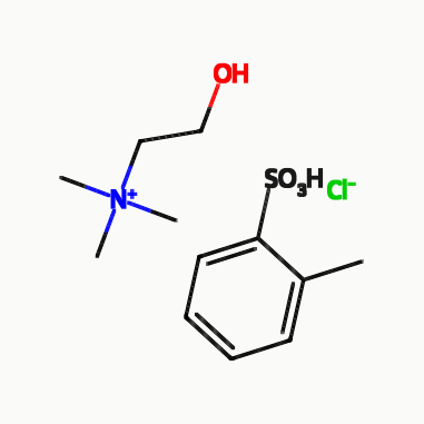 C[N+](C)(C)CCO.Cc1ccccc1S(=O)(=O)O.[Cl-]